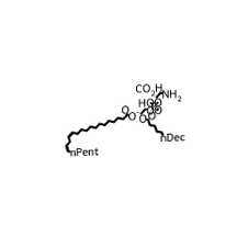 CCCCC/C=C\C/C=C\CCCCCCCCCCCC(=O)OC[C@H](COP(=O)(O)OC[C@H](N)C(=O)O)OC(=O)CCCCCCCCCCCCCC